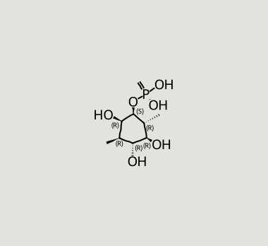 C=P(O)(O)O[C@H]1[C@H](C)[C@@H](O)[C@H](O)[C@@H](C)[C@H]1O